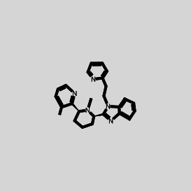 Cc1cccnc1[C@@H]1CCC[C@H](c2nc3ccccc3n2CCc2ccccn2)N1C